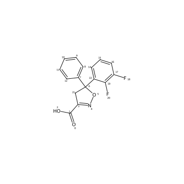 O=C(O)C1=NOC(c2ccccc2)(c2cccc(F)c2F)C1